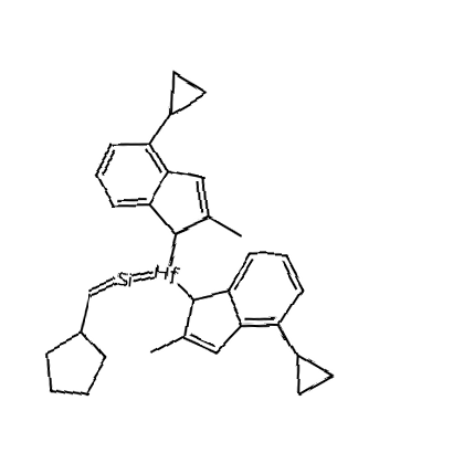 CC1=Cc2c(C3CC3)cccc2[CH]1[Hf](=[Si]=CC1CCCC1)[CH]1C(C)=Cc2c(C3CC3)cccc21